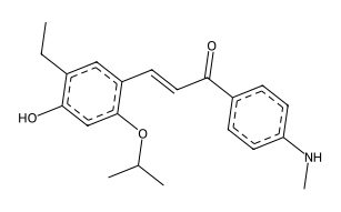 CCc1cc(C=CC(=O)c2ccc(NC)cc2)c(OC(C)C)cc1O